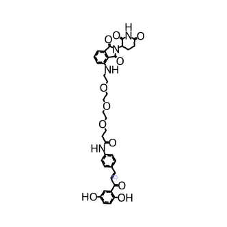 O=C1CCC(N2C(=O)c3cccc(NCCOCCOCCOCCC(=O)Nc4ccc(/C=C/C(=O)c5cc(O)ccc5O)cc4)c3C2=O)C(=O)N1